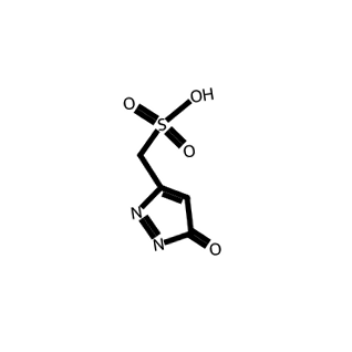 O=C1C=C(CS(=O)(=O)O)N=N1